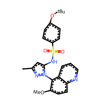 COc1ccc2ncccc2c1-n1nc(C)cc1NS(=O)(=O)c1ccc(OC(C)(C)C)cc1